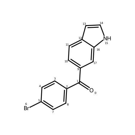 O=C(c1ccc(Br)cc1)c1ccc2cc[nH]c2c1